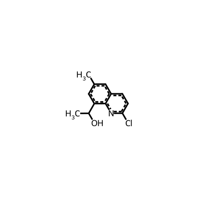 Cc1cc(C(C)O)c2nc(Cl)ccc2c1